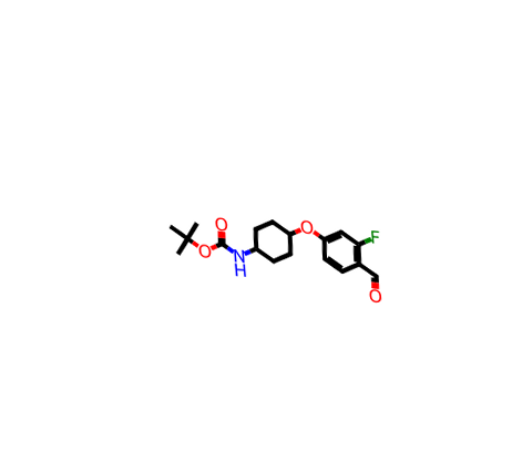 CC(C)(C)OC(=O)NC1CCC(Oc2ccc(C=O)c(F)c2)CC1